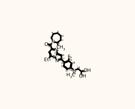 CCc1cc(C(=O)N2CCCCC[C@H]2C)nc2cc(-c3ccc(N(C)CC(O)O)cc3F)nn12